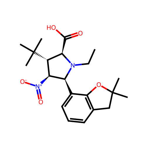 CCN1[C@H](C(=O)O)[C@@H](C(C)(C)C)[C@H]([N+](=O)[O-])[C@@H]1c1cccc2c1OC(C)(C)C2